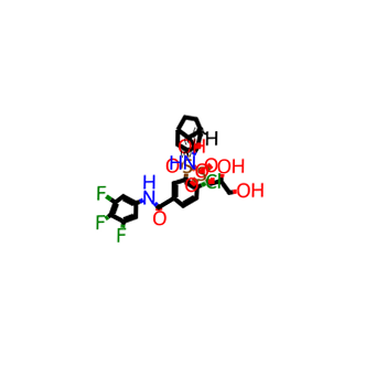 O=C(Nc1cc(F)c(F)c(F)c1)c1ccc(Cl)c(S(=O)(=O)[C@@H]2CC3CC[C@@H](C2)[C@@]3(O)CNS(=O)(=O)CC(O)CO)c1